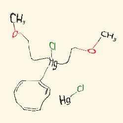 COC[CH2][Hg]([Cl])([CH2]COC)[c]1ccccc1.[Cl][Hg]